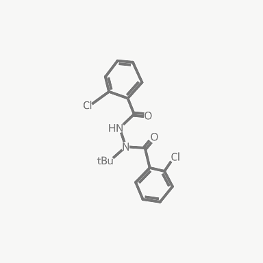 CC(C)(C)N(NC(=O)c1ccccc1Cl)C(=O)c1ccccc1Cl